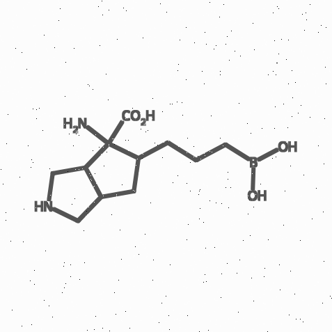 NC1(C(=O)O)C(CCCB(O)O)CC2CNCC21